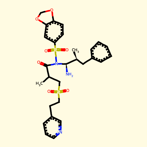 CC(CS(=O)(=O)CCc1cccnc1)C(=O)N([C@H](N)[C@@H](C)Cc1ccccc1)S(=O)(=O)c1ccc2c(c1)OCO2